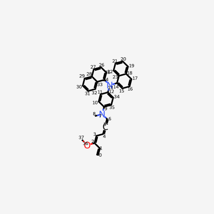 C=C/C(=C\C=C=CN(C)c1ccc(N(c2cccc3ccccc23)c2cccc3ccccc23)cc1)OC